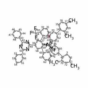 Cc1ccc(-c2ccc3c(c2)c2cc(-c4ccc(C)cc4C)ccc2n3-c2c(-c3ccccc3C(F)(F)F)cc(-c3nc(-c4ccccc4)nc(-c4ccccc4)n3)cc2-c2ccccc2C(F)(F)F)c(C)c1